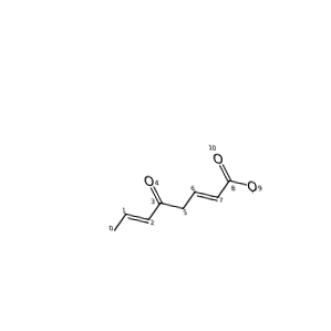 C/C=C/C(=O)C/C=C/C([O])=O